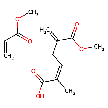 C=C(CC=C(C)C(=O)O)C(=O)OC.C=CC(=O)OC